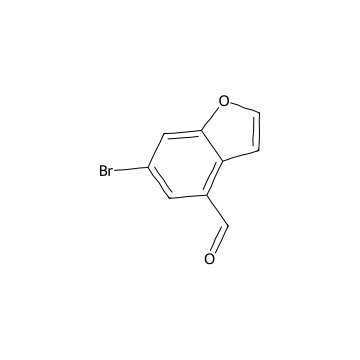 O=Cc1cc(Br)cc2occc12